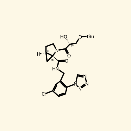 CC(C)(C)OC[C@@H](O)C(=O)N1CC[C@@H]2C[C@@]21C(=O)NCc1cc(Cl)ccc1-n1cnnn1